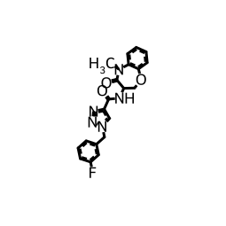 CN1C(=O)C(NC(=O)c2cn(Cc3cccc(F)c3)nn2)COc2ccccc21